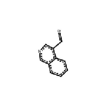 O=[C]c1cncc2ccccc12